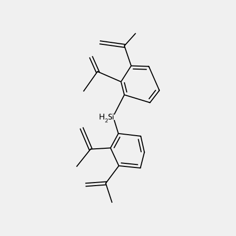 C=C(C)c1cccc([SiH2]c2cccc(C(=C)C)c2C(=C)C)c1C(=C)C